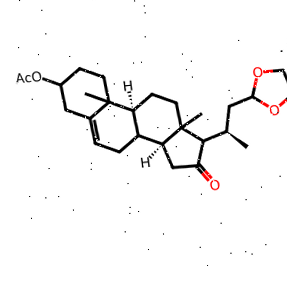 CC(=O)OC1CCC2(C)C(=CCC3[C@@H]2CCC2(C)C([C@H](C)CC4OCCO4)C(=O)C[C@@H]32)C1